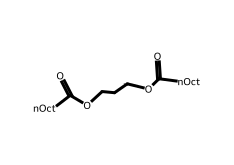 CCCCCCCCC(=O)O[CH]CCOC(=O)CCCCCCCC